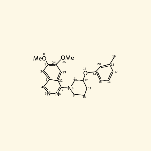 COc1cc2cnnc(N3CCCC(Oc4cccc(C)c4)C3)c2cc1OC